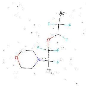 CC(=O)C(F)(F)C(F)OC(F)(F)C(F)(N1CCOCC1)C(F)(F)F